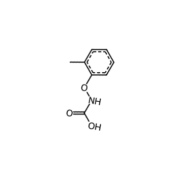 Cc1ccccc1ONC(=O)O